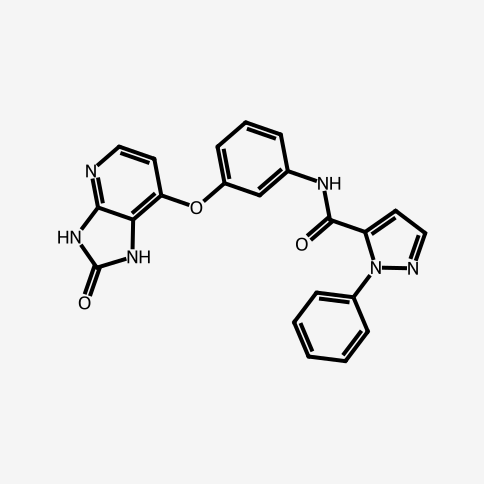 O=C(Nc1cccc(Oc2ccnc3[nH]c(=O)[nH]c23)c1)c1ccnn1-c1ccccc1